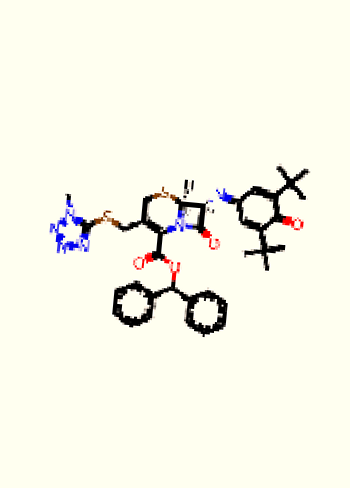 Cn1nnnc1SCC1=C(C(=O)OC(c2ccccc2)c2ccccc2)N2C(=O)[C@@H](N=C3C=C(C(C)(C)C)C(=O)C(C(C)(C)C)=C3)[C@@H]2SC1